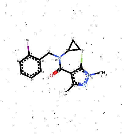 Cc1nn(C)c(F)c1C(=O)N(Cc1ccccc1I)C1CC1